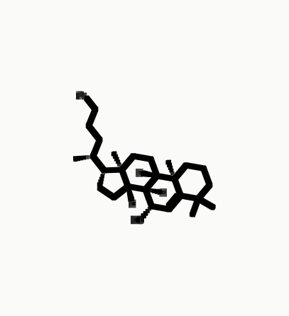 CC(C)CCC[C@@H](C)[C@H]1CC[C@H]2[C@@H]3[C@@H](O)C=C4C(C)(C)CCC[C@]4(C)[C@H]3CC[C@]12C